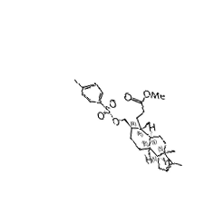 COC(=O)CC[C@@]1(C)[C@H](COS(=O)(=O)c2ccc(C)cc2)CC[C@@H]2[C@@H]1CC[C@]1(C)C(C)=CC[C@@H]21